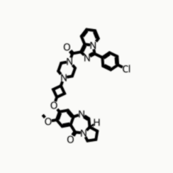 COc1cc2c(cc1OC1CC(N3CCN(C(=O)c4nc(-c5ccc(Cl)cc5)n5ccccc45)CC3)C1)N=C[C@@H]1CCCN1C2=O